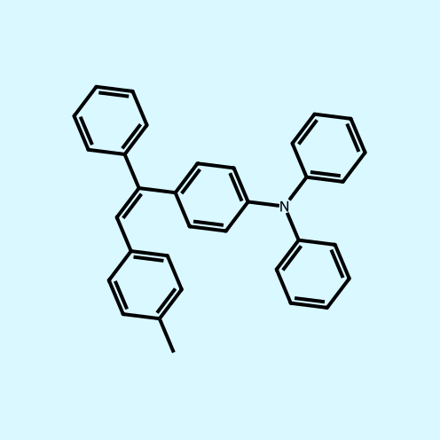 Cc1ccc(C=C(c2ccccc2)c2ccc(N(c3ccccc3)c3ccccc3)cc2)cc1